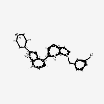 Fc1cccc(Cn2ccc3ccc(-c4ccnc5[nH]c(C6CCNCC6)cc45)nc32)c1